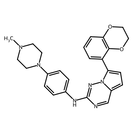 CN1CCN(c2ccc(Nc3ncc4ccc(-c5cccc6c5OCCO6)n4n3)cc2)CC1